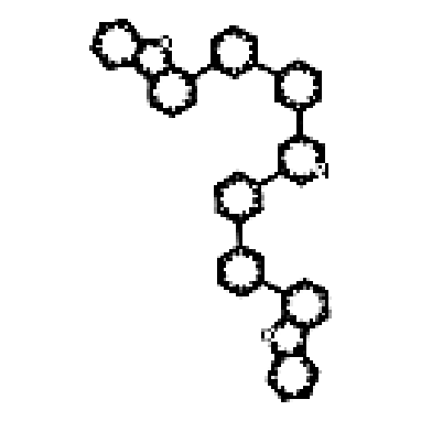 c1cc(-c2cncc(-c3cccc(-c4cccc(-c5cccc6c5oc5ccccc56)c4)c3)c2)cc(-c2cccc(-c3cccc4c3oc3ccccc34)c2)c1